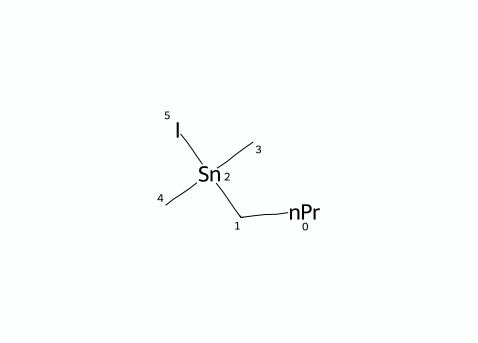 CCC[CH2][Sn]([CH3])([CH3])[I]